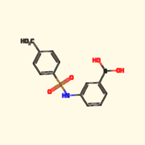 O=C(O)c1ccc(S(=O)(=O)Nc2cccc(B(O)O)c2)cc1